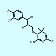 CC1(C)N=C(N)N=C(N)N1OCC(Br)C(Br)c1ccc(Cl)c(Cl)c1